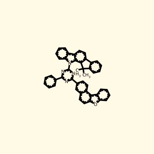 CC1(C)c2ccccc2-c2ccc3c4ccccc4n(-c4nc(-c5ccccc5)nc(-c5ccc6c(ccc7oc8ccccc8c76)c5)n4)c3c21